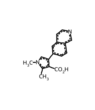 Cc1c(C(=O)O)c(-c2ccc3cnccc3c2)cn1C